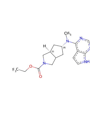 CN(c1ncnc2[nH]ccc12)[C@@H]1CC2CN(C(=O)OCC(F)(F)F)C[C@H]2C1